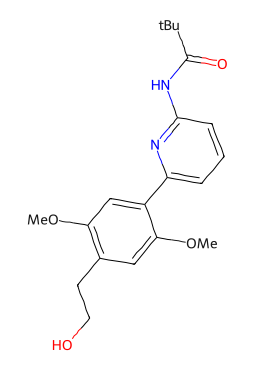 COc1cc(-c2cccc(NC(=O)C(C)(C)C)n2)c(OC)cc1CCO